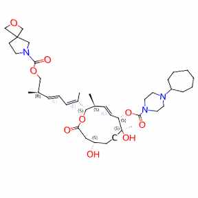 C/C(=C\C=C\[C@@H](C)COC(=O)N1CCC2(COC2)C1)[C@H]1OC(=O)C[C@@H](O)CC[C@](C)(O)[C@@H](OC(=O)N2CCN(C3CCCCCC3)CC2)/C=C/[C@@H]1C